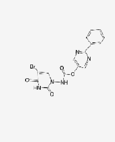 O=C(Nn1cc(Br)c(=O)[nH]c1=O)Oc1cnc(-c2ccccc2)nc1